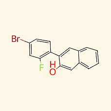 Oc1cc2ccccc2cc1-c1ccc(Br)cc1F